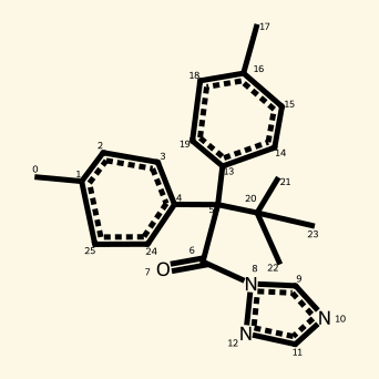 Cc1ccc(C(C(=O)n2cncn2)(c2ccc(C)cc2)C(C)(C)C)cc1